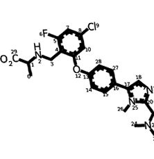 CC(NCc1c(F)cc(Cl)cc1Oc1ccc(-c2cnc(CN(C)C)n2C)cc1)C(=O)O